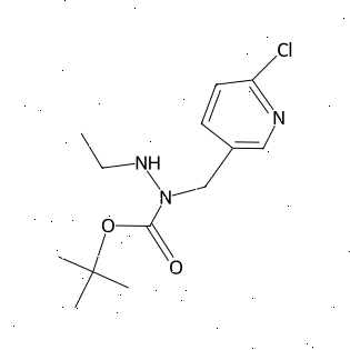 CCNN(Cc1ccc(Cl)nc1)C(=O)OC(C)(C)C